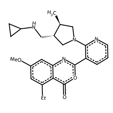 CCc1cc(OC)cc2nc(-c3cccnc3N3C[C@H](CNC4CC4)[C@@H](C)C3)oc(=O)c12